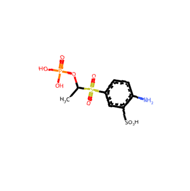 CC(OP(=O)(O)O)S(=O)(=O)c1ccc(N)c(S(=O)(=O)O)c1